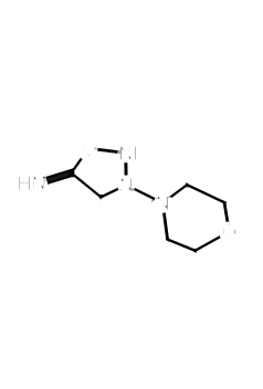 N=C1CN(N2CCOCC2)NO1